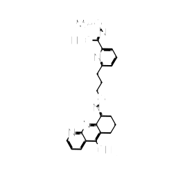 CO/N=C(\C)c1cccc(CCCO/N=C2\CCCc3c2nc2ncccc2c3C)n1